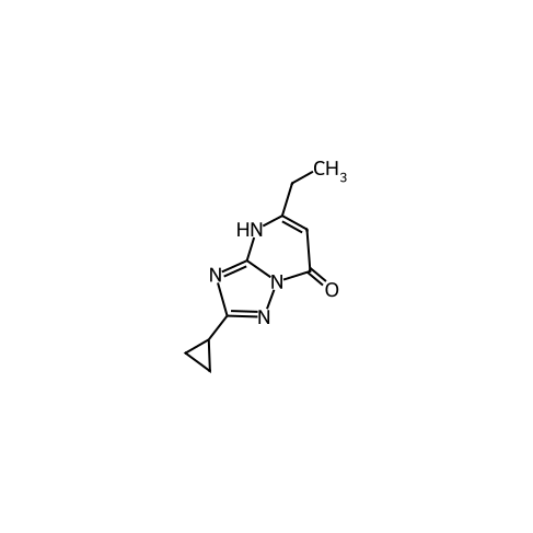 CCc1cc(=O)n2nc(C3CC3)nc2[nH]1